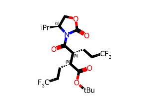 CC(C)[C@H]1COC(=O)N1C(=O)[C@H](CCC(F)(F)F)[C@@H](CCC(F)(F)F)C(=O)OC(C)(C)C